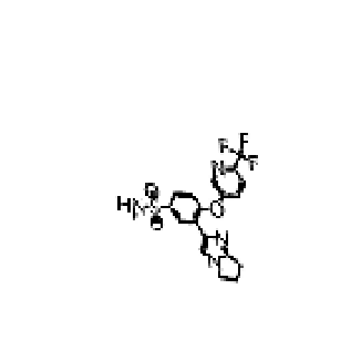 CNS(=O)(=O)c1ccc(Oc2ccc(C(F)(F)F)nc2)c(-c2cn3c(n2)CCC3)c1